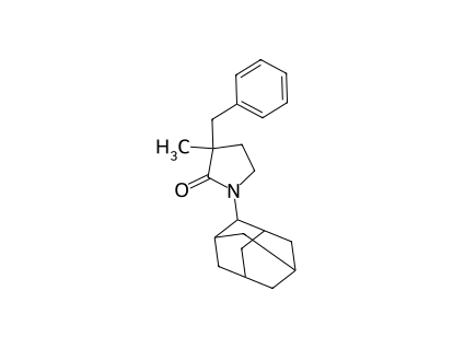 CC1(Cc2ccccc2)CCN(C2C3CC4CC(C3)CC2C4)C1=O